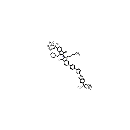 CCCCCN1/C(=C2\C(=O)c3ccc(C(C)(CC)C(C)C)cc3N2CC2CCCCC2)C(=O)c2ccc(-c3ccc(-c4ccc(-c5cc6sc(C(C)(CC)CC)cc6s5)s4)cc3)cc21